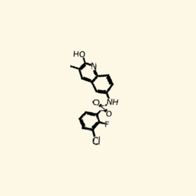 Cc1cc2cc(NS(=O)(=O)c3cccc(Cl)c3F)ccc2nc1O